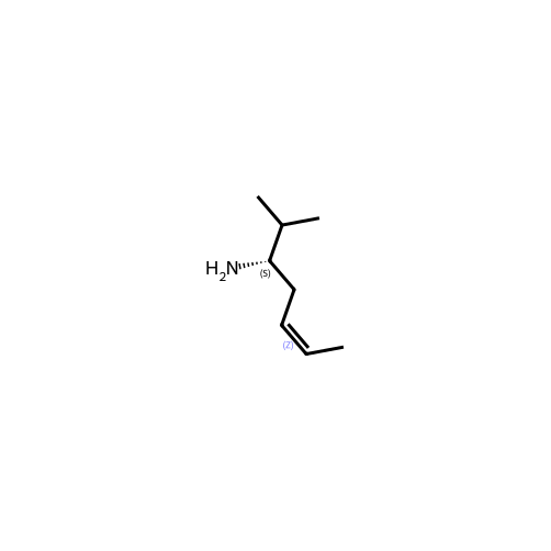 C/C=C\C[C@H](N)C(C)C